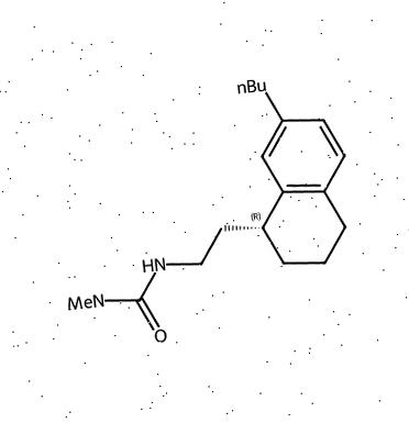 CCCCc1ccc2c(c1)[C@@H](CCNC(=O)NC)CCC2